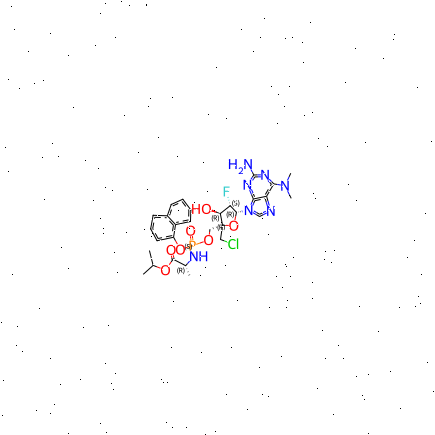 CC(C)OC(=O)[C@@H](C)N[P@](=O)(OC[C@@]1(CCl)O[C@@H](n2cnc3c(N(C)C)nc(N)nc32)[C@@H](F)[C@@H]1O)Oc1cccc2ccccc12